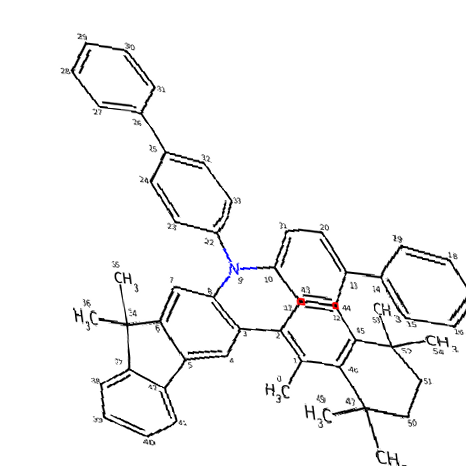 Cc1c(-c2cc3c(cc2N(c2ccc(-c4ccccc4)cc2)c2ccc(-c4ccccc4)cc2)C(C)(C)c2ccccc2-3)ccc2c1C(C)(C)CCC2(C)C